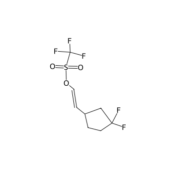 O=S(=O)(OC=CC1CCC(F)(F)C1)C(F)(F)F